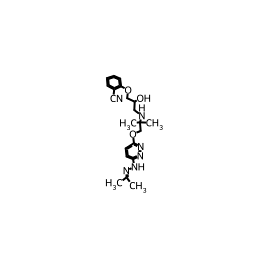 CC(C)=NNc1ccc(OCC(C)(C)NCC(O)COc2ccccc2C#N)nn1